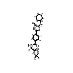 C[C@H](NC(=O)c1ccc(-c2nn(C)/c(=N\C3CCCCC3)s2)cc1)C(=O)OC(C)(C)C